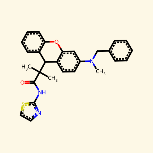 CN(Cc1ccccc1)c1ccc2c(c1)Oc1ccccc1C2C(C)(C)C(=O)Nc1nccs1